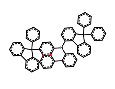 c1ccc(-c2ccccc2N(c2ccc(C3(c4ccccc4)c4ccccc4-c4ccccc43)cc2)c2cccc3c2-c2ccccc2C3(c2ccccc2)c2ccccc2)cc1